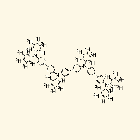 [2H]c1c([2H])c([2H])c(N(c2ccc(-c3ccc(N(c4ccc(-c5ccc(N(c6c([2H])c([2H])c([2H])c([2H])c6[2H])c6c([2H])c([2H])c([2H])c([2H])c6[2H])cc5)cc4)c4c([2H])c([2H])c([2H])c([2H])c4[2H])cc3)cc2)c2ccc(-c3ccc(N(c4c([2H])c([2H])c([2H])c([2H])c4[2H])c4c([2H])c([2H])c([2H])c([2H])c4[2H])cc3)cc2)c([2H])c1[2H]